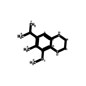 COc1c(C)c(C(C)C)cc2c1OCCO2